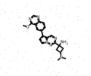 COc1ncnc2ccc(-c3ccn4nc(C5(N)CC(N(C)C)C5)ncc34)cc12